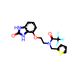 O=C(N(CCOc1cccc2[nH]c(=O)[nH]c12)Cc1cccs1)C(F)(F)F